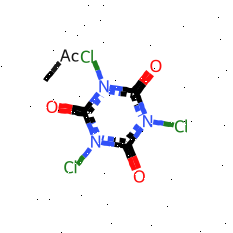 CC(C)=O.O=c1n(Cl)c(=O)n(Cl)c(=O)n1Cl